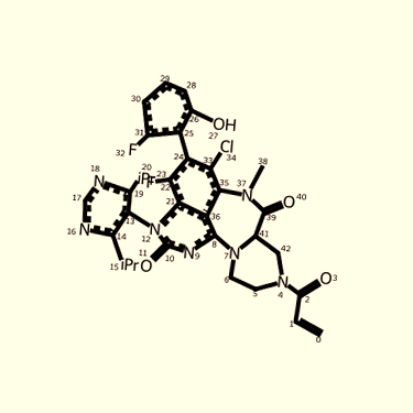 C=CC(=O)N1CCN2c3nc(=O)n(-c4c(C(C)C)ncnc4C(C)C)c4c(F)c(-c5c(O)cccc5F)c(Cl)c(c34)N(C)C(=O)C2C1